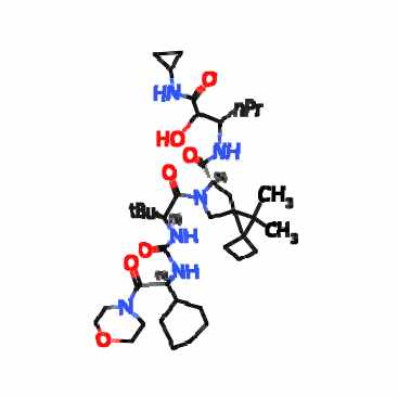 CCCC(NC(=O)[C@@H]1CC2(CN1C(=O)[C@@H](NC(=O)N[C@H](C(=O)N1CCOCC1)C1CCCCC1)C(C)(C)C)C(C)(C)C21CCC1)C(O)C(=O)NC1CC1